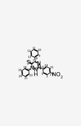 O=[N+]([O-])c1ccc(N2N=C(c3ccccc3)C(=S)N(c3ccccc3)N2)cc1